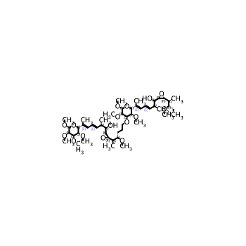 CC[C@H](OC)[C@@H](C)[C@H]1O[C@@H]1[C@H](O)[C@@H](C)/C=C/C=C(\C)[C@H]1O[C@H](OC)[C@@H](OC)[C@@H](OCCC[C@H](OC)[C@@H](C)[C@H]2O[C@@H]2[C@H](O)[C@@H](C)/C=C/C=C(\C)[C@H]2O[C@H](OC)[C@H](OC)[C@@H](OC)[C@H]2OC)[C@@H]1OC